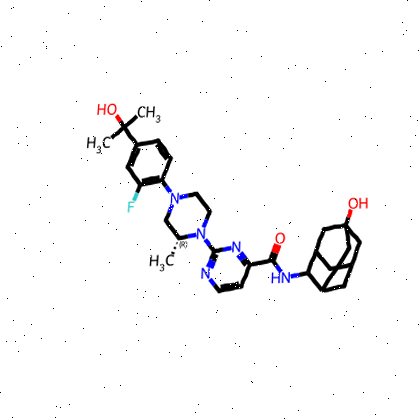 C[C@@H]1CN(c2ccc(C(C)(C)O)cc2F)CCN1c1nccc(C(=O)NC2C3CC4CC2CC(O)(C4)C3)n1